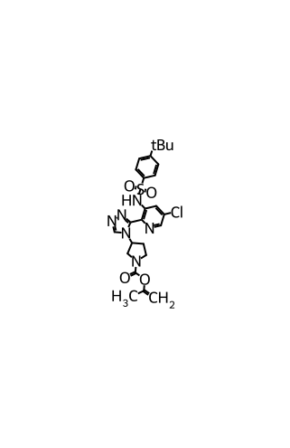 C=C(C)OC(=O)N1CCC(n2cnnc2-c2ncc(Cl)cc2NS(=O)(=O)c2ccc(C(C)(C)C)cc2)C1